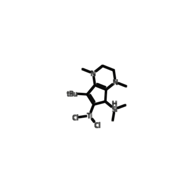 CN1CCN(C)C2=C1C(C(C)(C)C)=[C]([Ti]([Cl])[Cl])C2[SiH](C)C